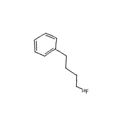 [18F]CCCCc1ccccc1